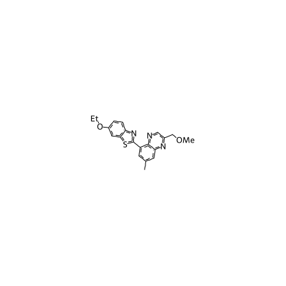 CCOc1ccc2nc(-c3cc(C)cc4nc(COC)cnc34)sc2c1